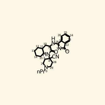 CCCN1CCC(C#N)(NC(=O)C(CC2CCCCC2)NC2=NC(=O)c3ccccc32)CC1